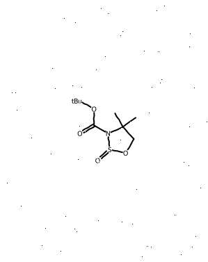 CC(C)(C)OC(=O)N1S(=O)OCC1(C)C